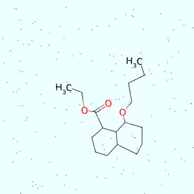 CCCCOC1CCCC2CCCC(C(=O)OCC)C21